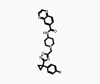 O=C(NC1CCN(Cc2nc(C3(c4ccc(F)cc4)CC3)no2)CC1)c1ccc2nccnc2c1